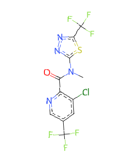 CN(C(=O)c1ncc(C(F)(F)F)cc1Cl)c1nnc(C(F)(F)F)s1